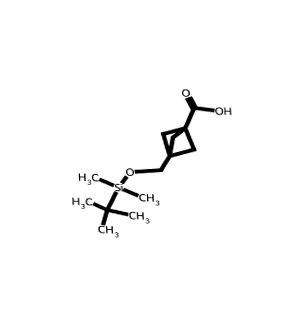 CC(C)(C)[Si](C)(C)OCC12CC(C(=O)O)(C1)C2